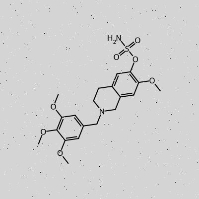 COc1cc2c(cc1OS(N)(=O)=O)CCN(Cc1cc(OC)c(OC)c(OC)c1)C2